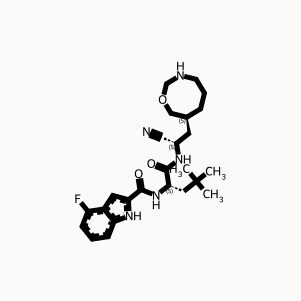 CC(C)(C)C[C@H](NC(=O)c1cc2c(F)cccc2[nH]1)C(=O)N[C@H](C#N)C[C@@H]1CCCNCOC1